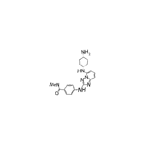 CNC(=O)c1ccc(Nc2nc3cccc(N[C@H]4CC[C@@H](N)CC4)n3n2)cc1